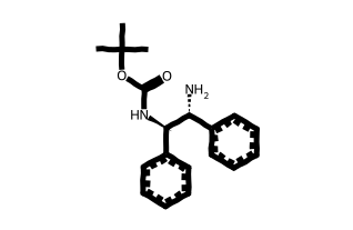 CC(C)(C)OC(=O)N[C@H](c1ccccc1)[C@H](N)c1ccccc1